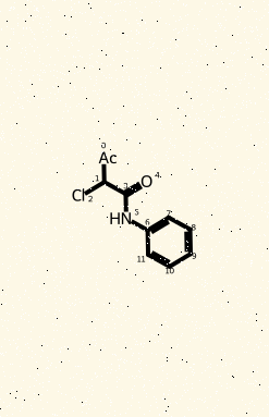 CC(=O)C(Cl)C(=O)Nc1ccccc1